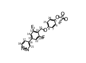 O=S(=O)(F)Oc1ccc(OCc2c(F)cc(-c3ccnnc3)cc2F)cc1